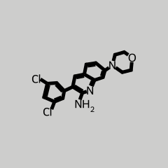 Nc1nc2cc(N3CCOCC3)ccc2cc1-c1cc(Cl)cc(Cl)c1